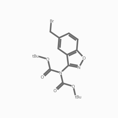 CC(C)(C)OC(=O)N(C(=O)OC(C)(C)C)c1noc2ccc(CBr)cc12